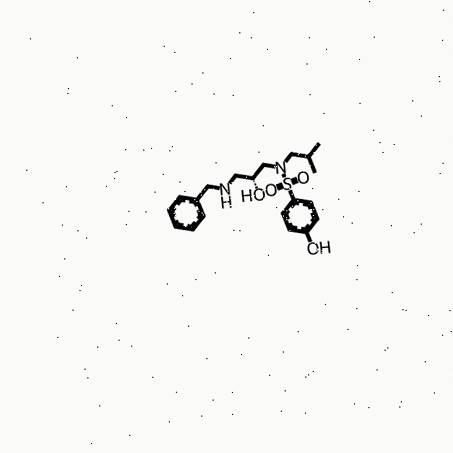 CC(C)CN(C[C@H](O)CNCc1ccccc1)S(=O)(=O)c1ccc(O)cc1